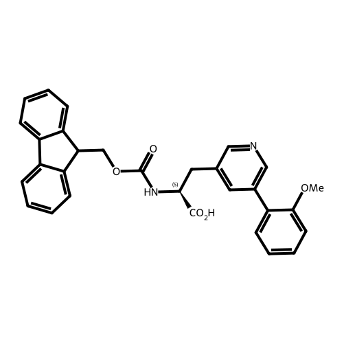 COc1ccccc1-c1cncc(C[C@H](NC(=O)OCC2c3ccccc3-c3ccccc32)C(=O)O)c1